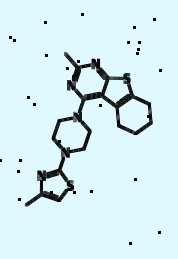 Cc1csc(N2CCN(c3nc(C)nc4sc5c(c34)CCCC5)CC2)n1